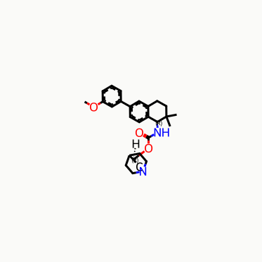 COc1cccc(-c2ccc3c(c2)CCC(C)(C)[C@H]3NC(=O)O[C@H]2CN3CCC2CC3)c1